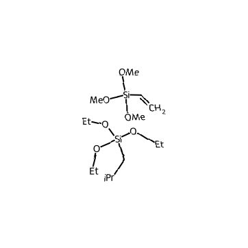 C=C[Si](OC)(OC)OC.CCO[Si](CC(C)C)(OCC)OCC